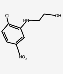 O=[N+]([O-])c1ccc(Cl)c(NCCO)c1